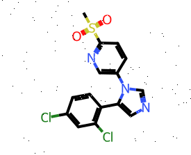 CS(=O)(=O)c1ccc(-n2cncc2-c2ccc(Cl)cc2Cl)cn1